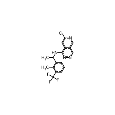 Cc1c(C(C)Nc2nncc3cnc(Cl)cc23)cccc1C(F)(F)F